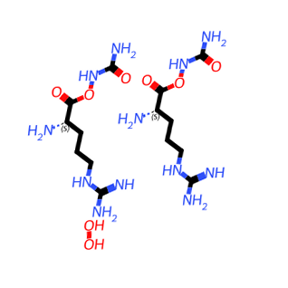 N=C(N)NCCC[C@H](N)C(=O)ONC(N)=O.N=C(N)NCCC[C@H](N)C(=O)ONC(N)=O.OO